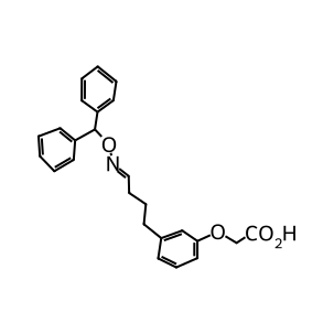 O=C(O)COc1cccc(CCC/C=N/OC(c2ccccc2)c2ccccc2)c1